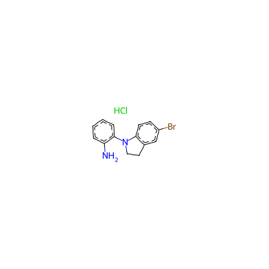 Cl.Nc1ccccc1N1CCc2cc(Br)ccc21